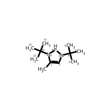 CC1=CN(C(C)(C)C)PN1C(C)(C)C